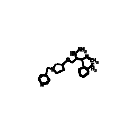 C=N/C(=C(/COC1CCN(Cc2ccncc2)C1)NN)c1ccccc1C